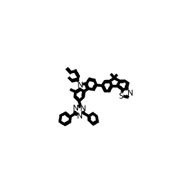 C=C/C=C\C(=C/C)n1c2ccc(-c3ccc4c(c3)C(C)(C)c3ccc5ncsc5c3-4)cc2c2cc(-c3nc(C4=CCCC=C4)nc(C4=CC=CCC4)n3)cc(C)c21